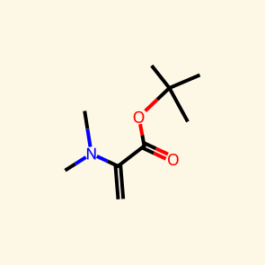 C=C(C(=O)OC(C)(C)C)N(C)C